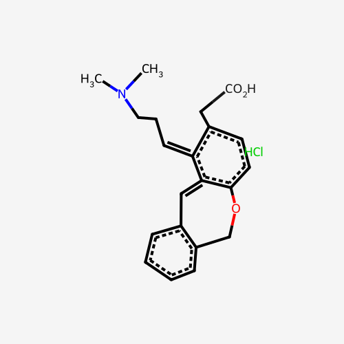 CN(C)CCC=c1c(CC(=O)O)ccc2c1=Cc1ccccc1CO2.Cl